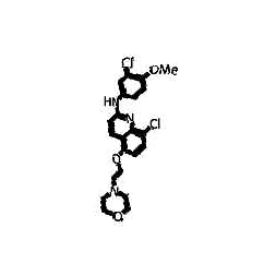 COc1ccc(Nc2ccc3c(OCCN4CCOCC4)ccc(Cl)c3n2)cc1Cl